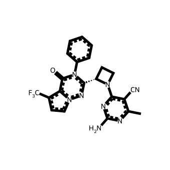 Cc1nc(N)nc(N2CC[C@H]2c2nn3ccc(C(F)(F)F)c3c(=O)n2-c2ccccc2)c1C#N